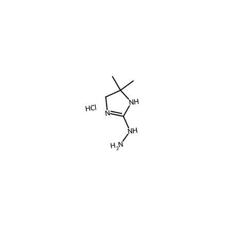 CC1(C)CN=C(NN)N1.Cl